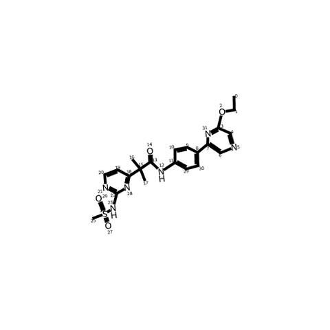 CCOc1cncc(-c2ccc(NC(=O)C(C)(C)c3ccnc(NS(C)(=O)=O)n3)cc2)n1